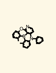 Cc1cccc2c1B1c3c(C)cccc3N(c3ccccc3)c3ccnc(c31)O2